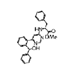 COC(=O)[C@H](Cc1ccccc1)Nc1cc(-c2ccccc2C(O)c2ccccc2)ncn1